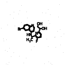 CC(Nc1ccnc2ccc(Br)cc12)c1nc(C(O)CO)ccc1F